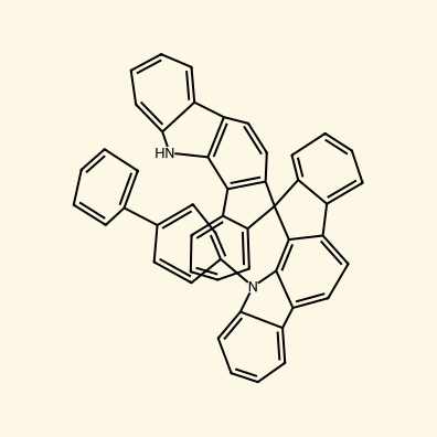 c1ccc(-c2ccc(-n3c4ccccc4c4ccc5c(c43)C3(c4ccccc4-5)c4ccccc4-c4c3ccc3c4[nH]c4ccccc43)cc2)cc1